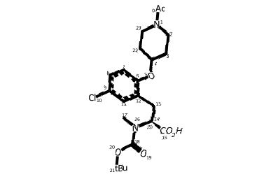 CC(=O)N1CCC(Oc2ccc(Cl)cc2C[C@@H](C(=O)O)N(C)C(=O)OC(C)(C)C)CC1